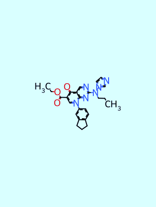 CCCN(c1ncc2c(=O)c(C(=O)OCC)cn(-c3ccc4c(c3)CCC4)c2n1)n1ccnc1